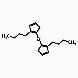 CCCCC1=[C]([Zn][C]2=C(CCCC)C=CC2)CC=C1